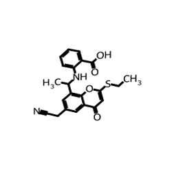 CCSc1cc(=O)c2cc(CC#N)cc(C(C)Nc3ccccc3C(=O)O)c2o1